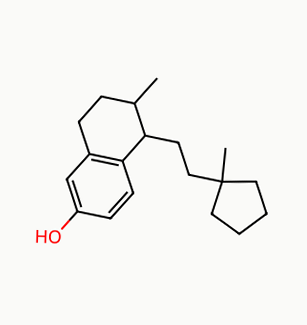 CC1CCc2cc(O)ccc2C1CCC1(C)CCCC1